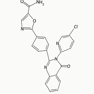 NC(=O)c1cnc(-c2ccc(-c3nc4ccccc4c(=O)n3-c3ccc(Cl)cn3)cc2)o1